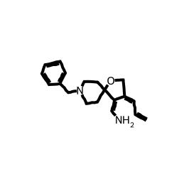 C=C/C=C1/COC2(CCN(Cc3ccccc3)CC2)/C1=C/N